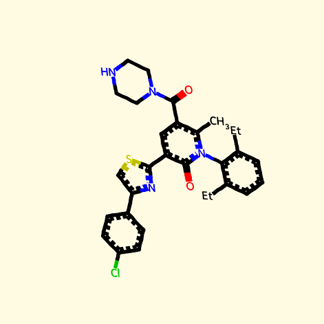 CCc1cccc(CC)c1-n1c(C)c(C(=O)N2CCNCC2)cc(-c2nc(-c3ccc(Cl)cc3)cs2)c1=O